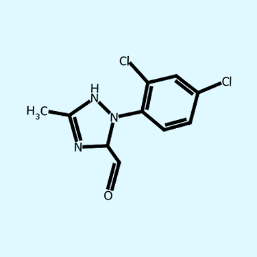 CC1=NC(C=O)N(c2ccc(Cl)cc2Cl)N1